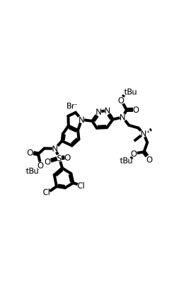 CC(C)(C)OC(=O)CN(c1ccc2c(c1)CCN2c1ccc(N(CC[N+](C)(C)CC(=O)OC(C)(C)C)C(=O)OC(C)(C)C)nn1)S(=O)(=O)c1cc(Cl)cc(Cl)c1.[Br-]